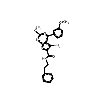 COc1cccc(-c2nc(SC)nc3sc(C(=O)NCCc4ccccc4)c(N)c23)c1